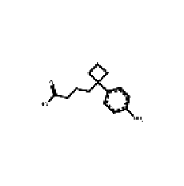 Nc1ccc(C2(CCCC(=O)O)CCC2)cc1